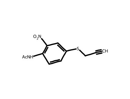 C#CCSc1ccc(NC(C)=O)c([N+](=O)[O-])c1